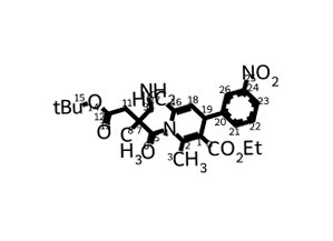 CCOC(=O)C1=C(C)N(C(=O)C(C)(CN)CC(=O)OC(C)(C)C)C(C)=CC1c1cccc([N+](=O)[O-])c1